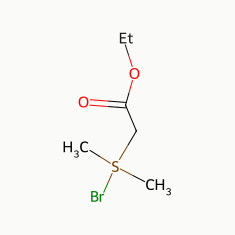 CCOC(=O)CS(C)(C)Br